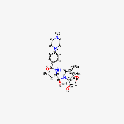 CCN1CCN(c2ccc(C(=O)N[C@@H](CC(C)C)C(=O)N3C[C@@H](C(C)(C)C)[C@H]4OCC(=O)[C@H]43)cc2)CC1